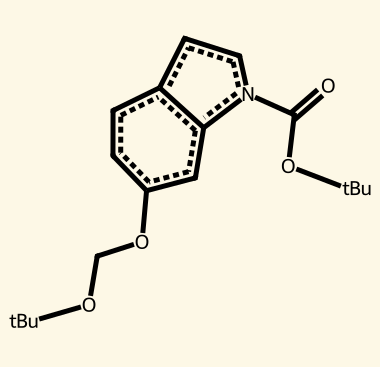 CC(C)(C)OCOc1ccc2ccn(C(=O)OC(C)(C)C)c2c1